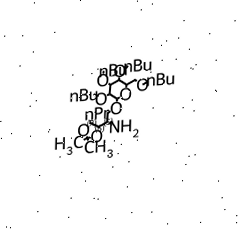 CCCCOCC1OC(OC[C@H](N)[C@@H]2OC(C)(C)O[C@@H]2CCC)C(OCCCC)C(OCCCC)C1OCCCC